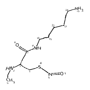 CNC(CSN=O)C(=O)NCCCCCN